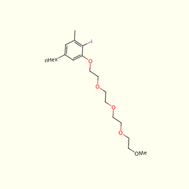 CCCCCCc1cc(C)c(I)c(OCCOCCOCCOCCOC)c1